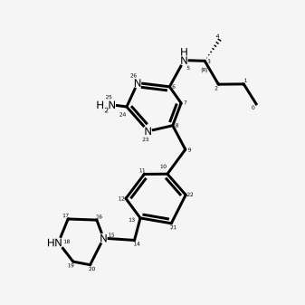 CCC[C@@H](C)Nc1cc(Cc2ccc(CN3CCNCC3)cc2)nc(N)n1